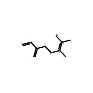 C=CC(=C)CCC(C)=C(C)C